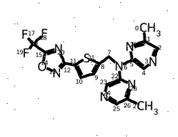 Cc1cncc(N(Cc2ccc(-c3noc(C(F)(F)F)n3)s2)c2cncc(C)n2)n1